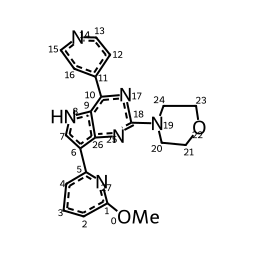 COc1cccc(-c2c[nH]c3c(-c4ccncc4)nc(N4CCOCC4)nc23)n1